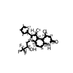 Cc1c(-c2cccs2)n(C[C@@H](O)C(F)(F)F)c2ccc3[nH]c(=O)cc(Cl)c3c12